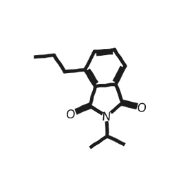 CCCc1cccc2c1C(=O)N(C(C)C)C2=O